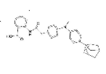 CN(c1ccc(CC(=O)Nc2ccccc2C(=O)O)cc1)c1ccc(C23CC4CC(CC2C4)C3)cc1